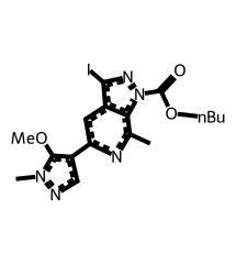 CCCCOC(=O)n1nc(I)c2cc(-c3cnn(C)c3OC)nc(C)c21